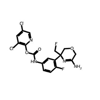 NC1=NC(CF)(c2cc(NC(=O)Oc3ncc(Cl)cc3Cl)ccc2F)COC1